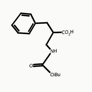 CC(C)COC(=O)NCC(Cc1ccccc1)C(=O)O